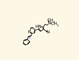 CN(C)CCc1[nH]c(-c2ccnc(/C=C/c3ccccc3)c2)cc1C#N